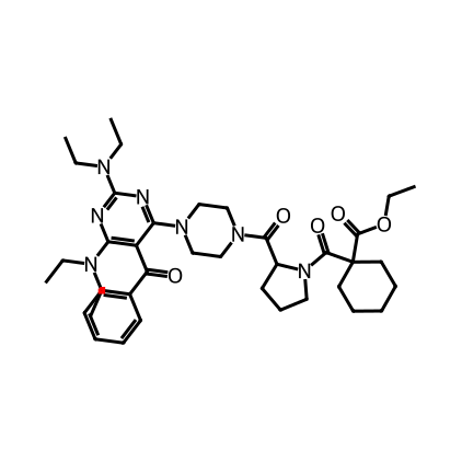 CCOC(=O)C1(C(=O)N2CCCC2C(=O)N2CCN(c3nc(N(CC)CC)nc(N(CC)CC)c3C(=O)c3ccccc3)CC2)CCCCC1